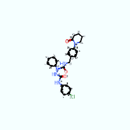 O=C(Nc1ccc(Cl)cc1)NN(C(=O)NCc1ccc(N2CCCCC2=O)cc1)c1ccccc1